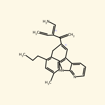 C=C/C(=C\N)C(=C)/C(=C/c1c[nH]c2ncccc12)Cc1ccc(C)cc1CCC